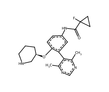 Cc1ncnc(C)c1-c1cc(NC(=O)C2(F)CC2)ccc1O[C@@H]1CCCNC1